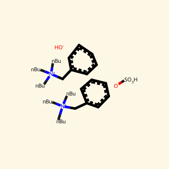 CCCC[N+](CCCC)(CCCC)Cc1ccccc1.CCCC[N+](CCCC)(CCCC)Cc1ccccc1.O=S(=O)([O-])O.[OH-]